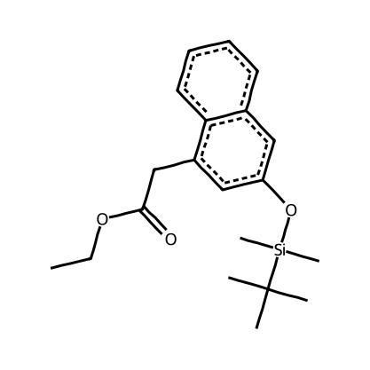 CCOC(=O)Cc1cc(O[Si](C)(C)C(C)(C)C)cc2ccccc12